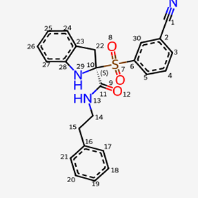 N#Cc1cccc(S(=O)(=O)[C@]2(C(=O)NCCc3ccccc3)Cc3ccccc3N2)c1